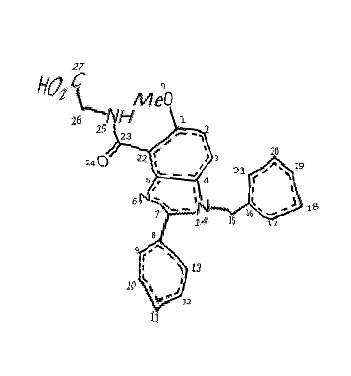 COc1ccc2c(nc(-c3ccccc3)n2Cc2ccccc2)c1C(=O)NCC(=O)O